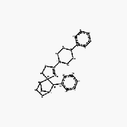 c1ccc(C2CCN(C3=NC4(CC3)C3CCC(C3)C4c3ccccc3)CC2)cc1